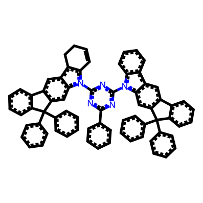 C1=Cc2c(c3cc4c(cc3n2-c2nc(-c3ccccc3)nc(-n3c5ccccc5c5cc6c(cc53)C(c3ccccc3)(c3ccccc3)c3ccccc3-6)n2)C(c2ccccc2)(c2ccccc2)c2ccccc2-4)CC1